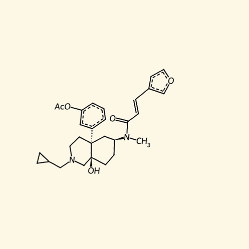 CC(=O)Oc1cccc([C@@]23CCN(CC4CC4)C[C@@]2(O)CC[C@H](N(C)C(=O)/C=C/c2ccoc2)C3)c1